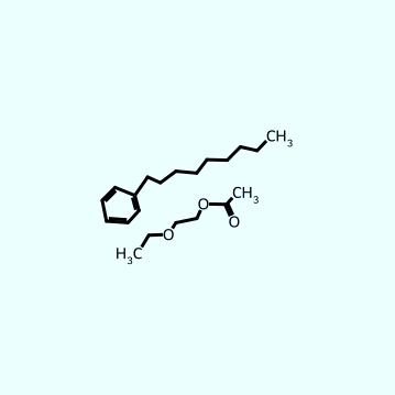 CCCCCCCCCc1ccccc1.CCOCCOC(C)=O